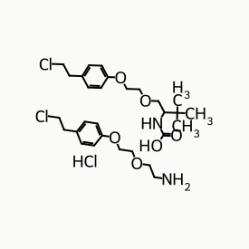 CC(C)(C)C(COCCOc1ccc(CCCl)cc1)NC(=O)O.Cl.NCCOCCOc1ccc(CCCl)cc1